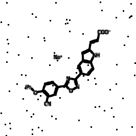 CC(C)Oc1ccc(-c2nc(-c3ccc4[nH]c(/C=C/C(=O)[O-])cc4c3)no2)cc1C#N.[Na+]